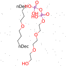 CCCCCCCCCCCCCOCCCCCCCCCCCCC.O=P(O)(O)OP(=O)(O)OCCOCCOCCO